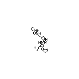 Cc1cc(Nc2ncnc3ccc(C#CCNC(=O)Nc4ccccc4)cc23)ccc1Oc1cccnc1